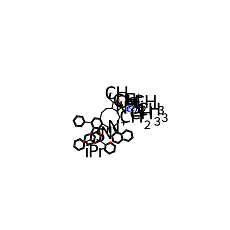 C=CC(=C)C1CCc2cc(-c3ccccc3)c3c(sc4cc(C(C)C)ccc43)c2-c2n(-c3ccc(-c4ccccc4)cc3-c3ccccc3)c3ccc4ccccc4c3[n+]2CC(=C)C1[N+](=C)/C=C(\CC)[Si](C)(C)C